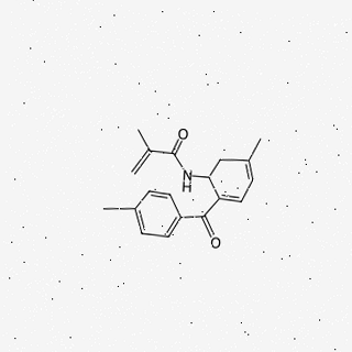 C=C(C)C(=O)NC1CC(C)=CC=C1C(=O)c1ccc(C)cc1